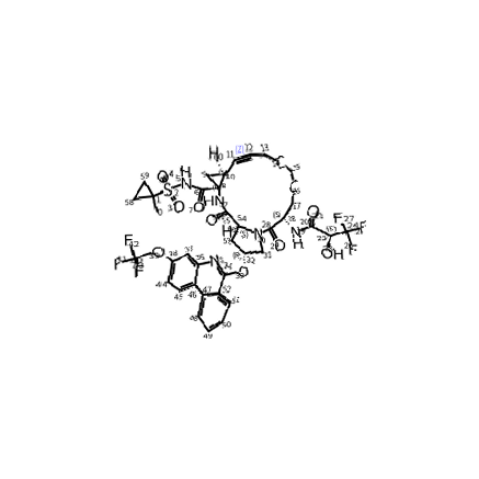 CC1(S(=O)(=O)NC(=O)[C@@]23C[C@H]2/C=C\CCCCC[C@H](NC(=O)[C@H](O)C(F)(F)F)C(=O)N2C[C@H](Oc4nc5cc(OC(F)(F)F)ccc5c5ccccc45)C[C@H]2C(=O)N3)CC1